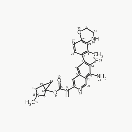 Cc1c(-c2cc3cc(NC(=O)OC45CC4CN(C)C5)ncc3c(N)c2F)cnc2c1NCCO2